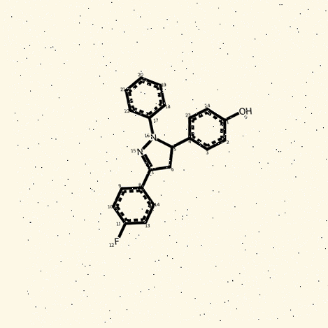 Oc1ccc(C2CC(c3ccc(F)cc3)=NN2c2ccccc2)cc1